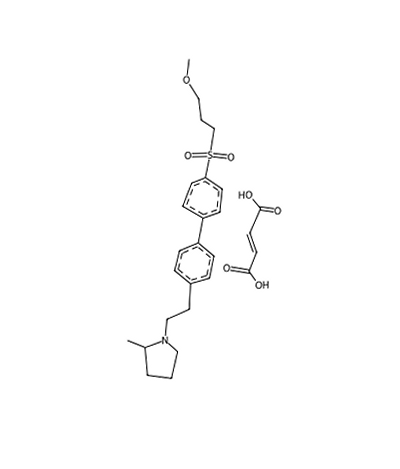 COCCCS(=O)(=O)c1ccc(-c2ccc(CCN3CCCC3C)cc2)cc1.O=C(O)C=CC(=O)O